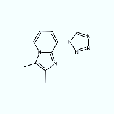 Cc1nc2c(-n3cnnn3)cccn2c1C